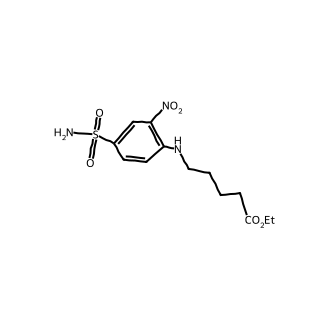 CCOC(=O)CCCCNc1ccc(S(N)(=O)=O)cc1[N+](=O)[O-]